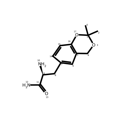 CC1(C)OCc2cc(C[C@H](N)C(N)=O)ccc2O1